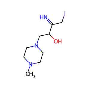 CN1CCN(CC(O)C(=N)CI)CC1